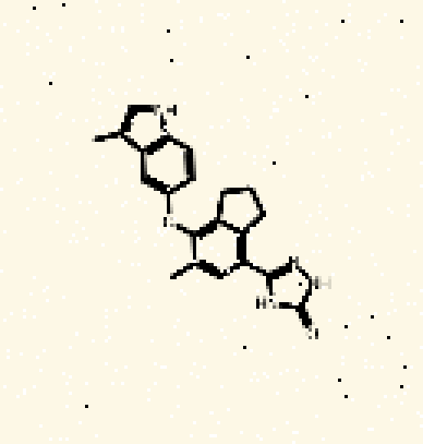 Cc1cc(-c2n[nH]c(=O)[nH]2)c2c(c1Oc1ccc3[nH]cc(C)c3c1)CCC2